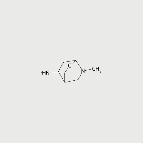 CN1CC2CCC1CC2[NH]